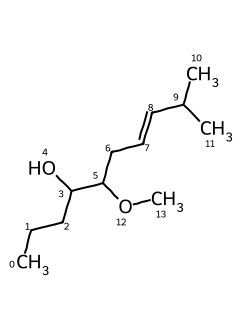 CCCC(O)C(CC=CC(C)C)OC